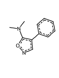 CN(C)c1oncc1-c1ccccc1